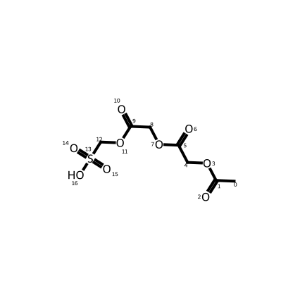 CC(=O)OCC(=O)OCC(=O)OCS(=O)(=O)O